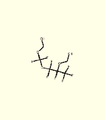 OCOC(F)(F)OC(F)(F)C(F)(OCO)C(F)(F)F